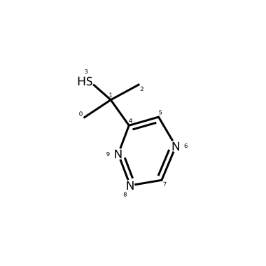 CC(C)(S)c1cncnn1